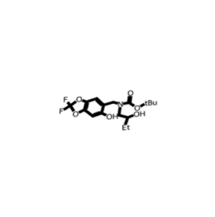 CCC(O)CN(Cc1cc2c(cc1O)OC(F)(F)O2)C(=O)OC(C)(C)C